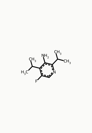 CC(C)c1ncc(F)c(C(C)C)c1N